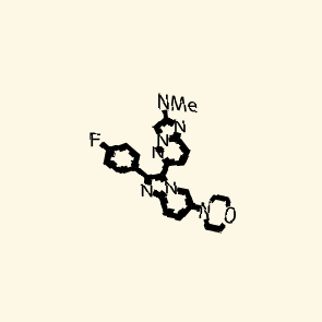 CNc1cn2nc(-c3c(-c4ccc(F)cc4)nc4ccc(N5CCOCC5)cn34)ccc2n1